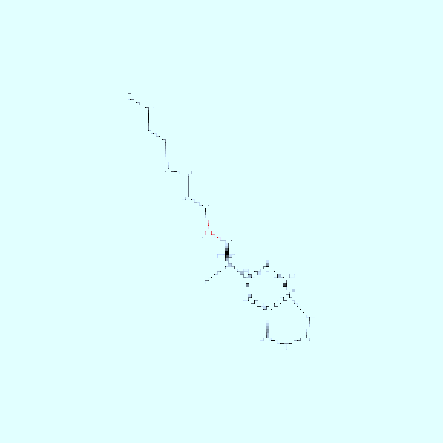 CCCCCCCCO/C=C(\C)c1ccc2c(c1)CCCC2